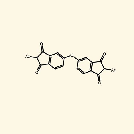 CC(=O)C1C(=O)c2ccc(Oc3ccc4c(c3)C(=O)C(C(C)=O)C4=O)cc2C1=O